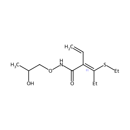 C=C/C(C(=O)NOCC(C)O)=C(/CC)SCC